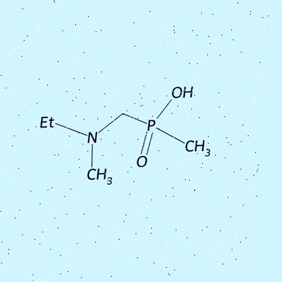 CCN(C)CP(C)(=O)O